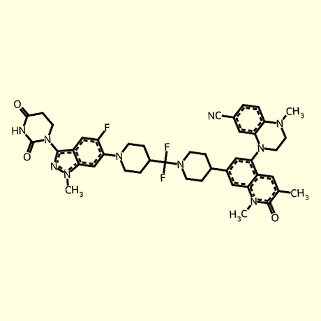 Cc1cc2c(N3CCN(C)c4ccc(C#N)cc43)cc(C3CCN(C(F)(F)C4CCN(c5cc6c(cc5F)c(N5CCC(=O)NC5=O)nn6C)CC4)CC3)cc2n(C)c1=O